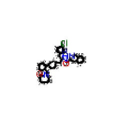 O=C(N[C@@H](C=C1CCC(c2ccccc2CN2CCCCCC2=O)CC1)Cc1ccc(Cl)cc1)[C@H]1Cc2ccccc2CN1